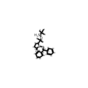 CC(C)(C)[SiH2]OC(C)(C)C1CCC(=O)N1N=C(c1ccccc1)c1ccccc1